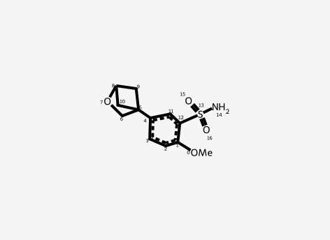 COc1ccc(C23COC(C2)C3)cc1S(N)(=O)=O